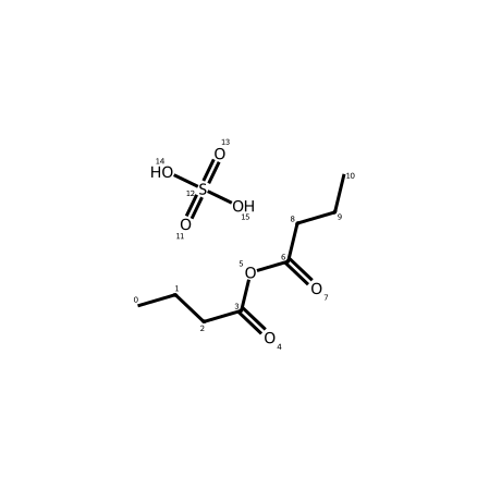 CCCC(=O)OC(=O)CCC.O=S(=O)(O)O